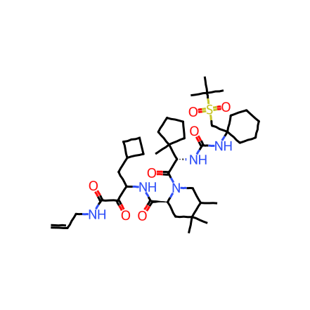 C=CCNC(=O)C(=O)C(CC1CCC1)NC(=O)[C@@H]1CC(C)(C)C(C)CN1C(=O)[C@@H](NC(=O)NC1(CS(=O)(=O)C(C)(C)C)CCCCC1)C1(C)CCCC1